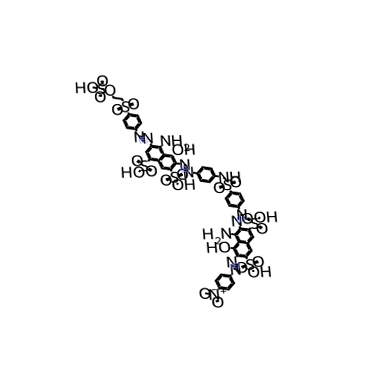 Nc1c(/N=N/c2ccc(S(=O)(=O)Nc3ccc(/N=N/c4c(S(=O)(=O)O)cc5c(S(=O)(=O)O)cc(/N=N/c6ccc(S(=O)(=O)CCOS(=O)(=O)O)cc6)c(N)c5c4O)cc3)cc2)c(S(=O)(=O)O)cc2cc(S(=O)(=O)O)c(/N=N/c3ccc([N+](=O)[O-])cc3)c(O)c12